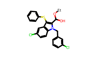 CCOC(O)c1c(Sc2ccccc2)c2cc(Cl)ccc2n1Cc1cccc(Cl)c1